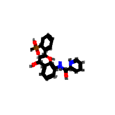 CS(=O)(=O)c1ccccc1-c1cc(=O)c2cccc(NC(=O)c3ccccn3)c2o1